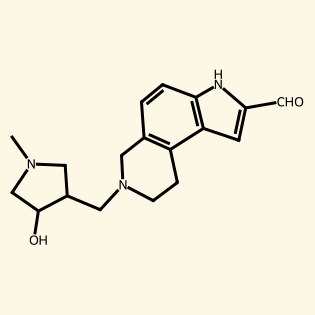 CN1CC(O)C(CN2CCc3c(ccc4[nH]c(C=O)cc34)C2)C1